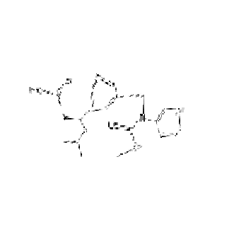 COC(=O)N(Cc1cccc([C@H](CC(=O)O)OC(C)C)c1)c1ccc(C)nc1